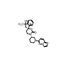 CC(C)(O)C[C@]1(c2ccccc2)CCN([C@H]2CCCN(c3ccc4nccn4n3)C2)C(=O)O1